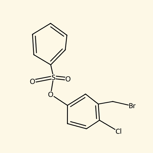 O=S(=O)(Oc1ccc(Cl)c(CBr)c1)c1ccccc1